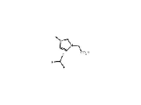 CN1C=CN(CC(=O)O)C1.FC(F)F